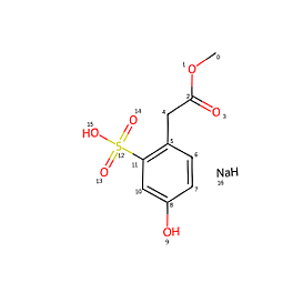 COC(=O)Cc1ccc(O)cc1S(=O)(=O)O.[NaH]